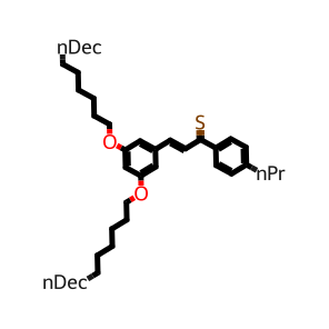 CCCCCCCCCCCCCCCCOc1cc(C=CC(=S)c2ccc(CCC)cc2)cc(OCCCCCCCCCCCCCCCC)c1